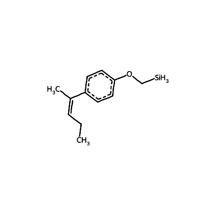 CC/C=C(/C)c1ccc(OC[SiH3])cc1